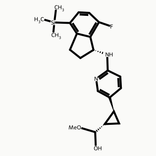 COC(O)[C@H]1C[C@@H]1c1ccc(N[C@@H]2CCc3c([Si](C)(C)C)ccc(F)c32)nc1